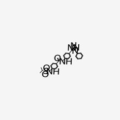 CC(C)S(=O)(=O)Nc1ccc(C(=O)Nc2ccc(-c3nnnn3-c3ccccc3)cc2)cc1